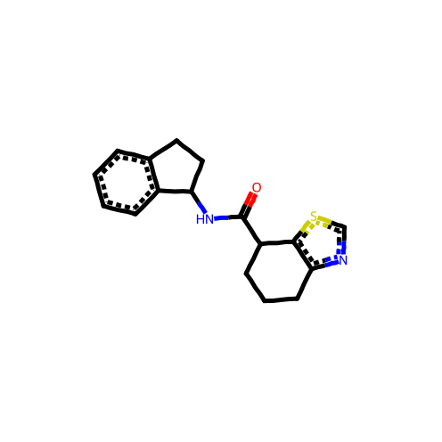 O=C(NC1CCc2ccccc21)C1CCCc2ncsc21